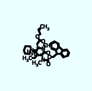 C=CCOC(=O)C[C@@H](C(=O)N1CCCCC1)N(C)C(=O)[C@H]([C@@H](C)CC)N(C)C(=O)OCC1c2ccccc2-c2ccccc21